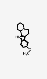 COc1ccc2[nH]c3c(c2c1)CCN1CCCCC31